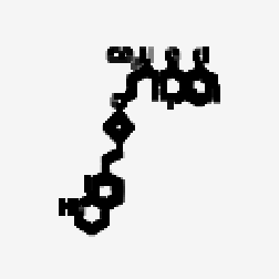 O=C(N[C@@H](CCO[C@H]1C[C@H](CCc2ccc3c(n2)NCCC3)C1)C(=O)O)c1c(F)cncc1Cl